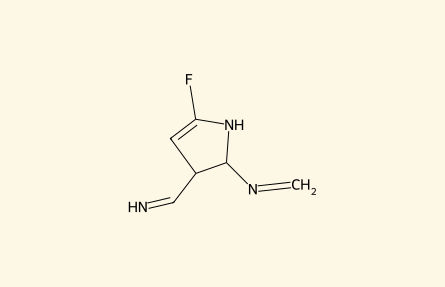 C=NC1NC(F)=CC1C=N